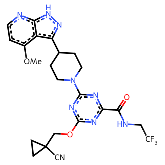 COc1ccnc2[nH]nc(C3CCN(c4nc(OCC5(C#N)CC5)nc(C(=O)NCC(F)(F)F)n4)CC3)c12